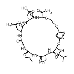 CC(C)C(=O)N[C@@H]1Cc2cn(nn2)CCCC[C@@H](C(N)=O)NC(=O)[C@@H](CC(=O)O)NC(=O)[C@H](CC(N)=O)NC(=O)[C@@H](C)NC(=O)[C@@H](C(C)C)NC(=O)[C@@H](CO)NC1=O